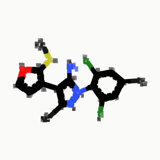 N#Cc1nn(-c2c(Cl)cc(C(F)(F)F)cc2Cl)c(N)c1-c1ccoc1SC(F)(F)F